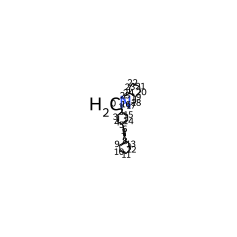 C=C(c1ccc(C#Cc2ccccc2)cc1)N1CCC2CCCCC2C1